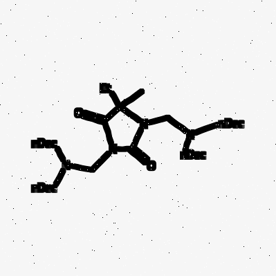 CCCCCCCCCCN(CCCCCCCCCC)CN1C(=O)N(CN(CCCCCCCCCC)CCCCCCCCCC)C(C)(CC)C1=O